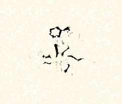 C=CC[Si](CC=C)(CC=C)N[Si](CC=C)(CC=C)CC=C.C=Cc1ccccc1